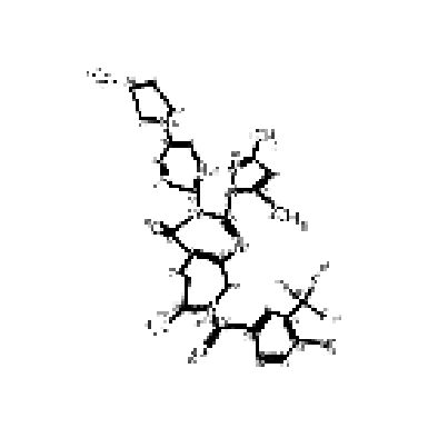 Cc1cc(C)n(-c2nc3c(c(=O)n2-c2ncc(N4CC[C@@H](C)C4)cn2)CC(C)N(C(=O)c2ccc(Br)c(C(F)(F)F)c2)C3)n1